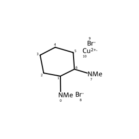 CNC1CCCCC1NC.[Br-].[Br-].[Cu+2]